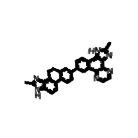 Cc1nc2c3c(ccc2[nH]1)-c1ccc(-c2ccc4c(c2)c2nccnc2c2nc(C)[nH]c42)cc1CC3